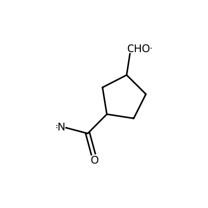 [N]C(=O)C1CCC([C]=O)C1